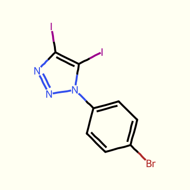 Brc1ccc(-n2nnc(I)c2I)cc1